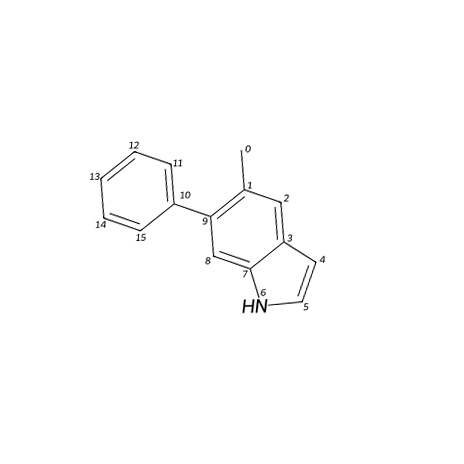 Cc1cc2cc[nH]c2cc1-c1ccccc1